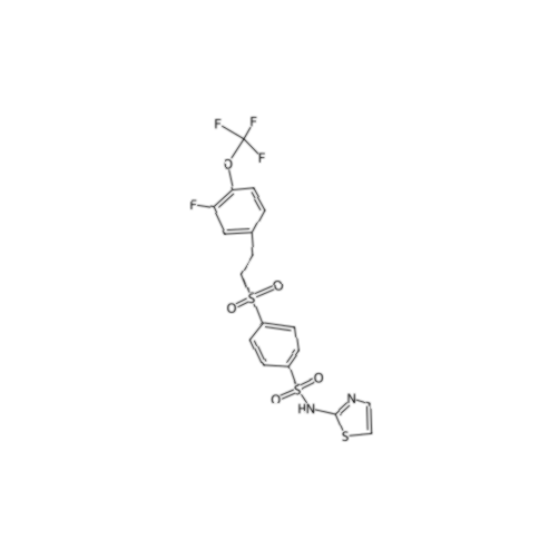 O=S(=O)(CCc1ccc(OC(F)(F)F)c(F)c1)c1ccc(S(=O)(=O)Nc2nccs2)cc1